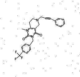 Cn1c2c(c(=O)n(Cc3ccc(C(F)(F)F)cc3)c1=O)CN(CC#Cc1ccccc1)CC2